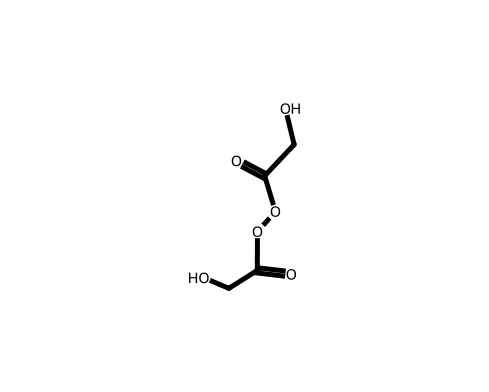 O=C(CO)OOC(=O)CO